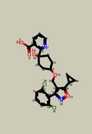 O=C(O)c1cccnc1C1(O)CCC(OCc2c(-c3c(Cl)cccc3Cl)noc2C2CC2)CC1